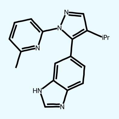 Cc1cccc(-n2ncc(C(C)C)c2-c2ccc3nc[nH]c3c2)n1